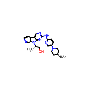 CNC1CCN(c2ccc(Nc3ncc4c5ccncc5n([C@@H](C)CO)c4n3)nc2)CC1